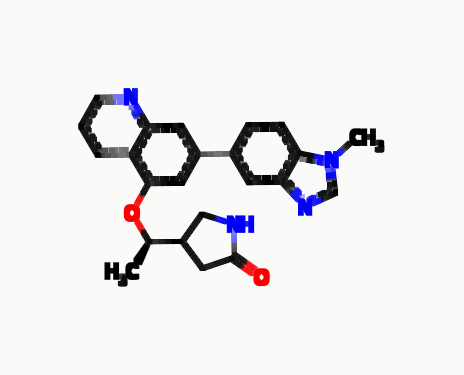 C[C@@H](Oc1cc(-c2ccc3c(c2)ncn3C)cc2ncccc12)C1CNC(=O)C1